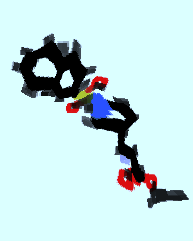 CC(C)(C)OC(=O)/C=C/c1ccn(S(=O)(=O)c2ccc3ccccc3c2)c1